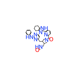 O=CNCC1CN(C(=O)c2cccc(-c3nc4c([nH]3)CCCC4)n2)CC1Cc1ccnc(Nc2ccccc2)n1